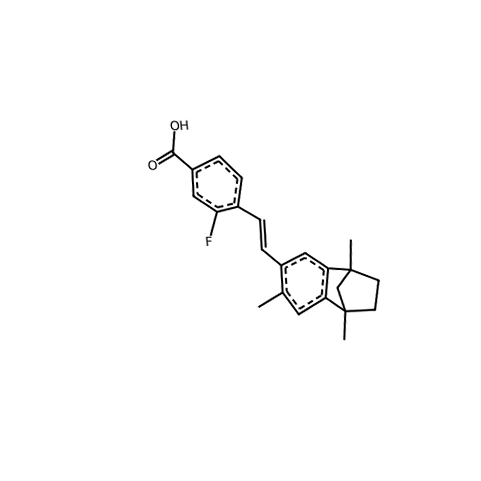 Cc1cc2c(cc1C=Cc1ccc(C(=O)O)cc1F)C1(C)CCC2(C)C1